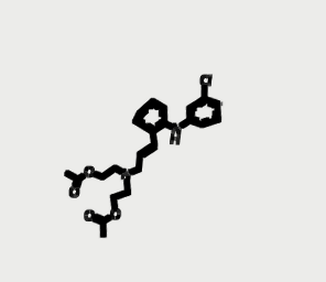 CC(=O)OCCN(C/C=C/c1ccccc1Nc1cc[c]c(Cl)c1)CCOC(C)=O